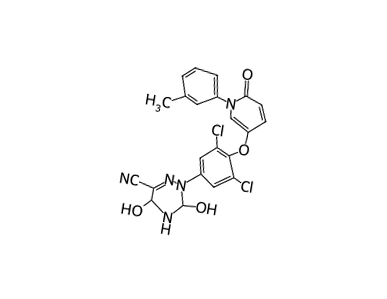 Cc1cccc(-n2cc(Oc3c(Cl)cc(N4N=C(C#N)C(O)NC4O)cc3Cl)ccc2=O)c1